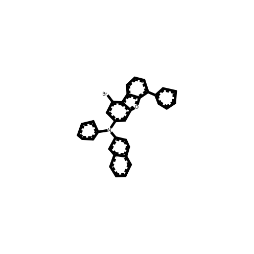 Brc1cc(N(c2ccccc2)c2ccc3ccccc3c2)cc2oc3c(-c4ccccc4)cccc3c12